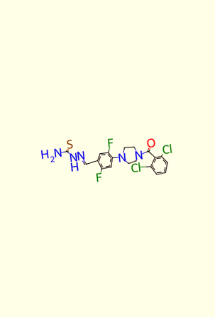 NC(=S)N/N=C/c1cc(F)c(N2CCN(C(=O)c3c(Cl)cccc3Cl)CC2)cc1F